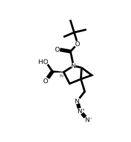 CC(C)(C)OC(=O)N1C2CC2(CN=[N+]=[N-])C[C@H]1C(=O)O